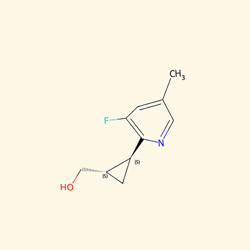 Cc1cnc([C@H]2C[C@@H]2CO)c(F)c1